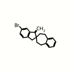 C=C1c2cc(Br)ccc2CC12CCc1ccccc1CC2